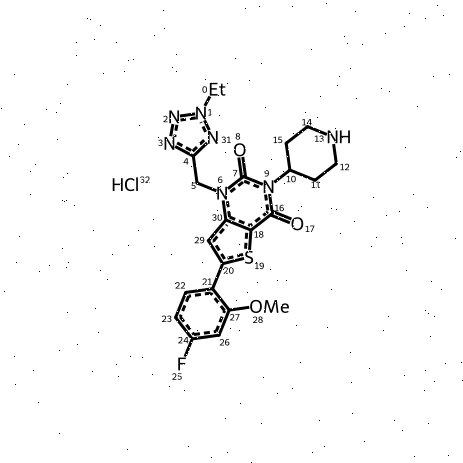 CCn1nnc(Cn2c(=O)n(C3CCNCC3)c(=O)c3sc(-c4ccc(F)cc4OC)cc32)n1.Cl